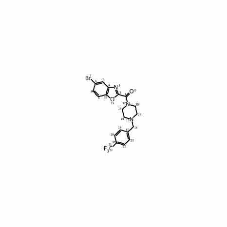 O=C(c1nc2cc(Br)ccc2o1)N1CCN(Cc2ccc(C(F)(F)F)cc2)CC1